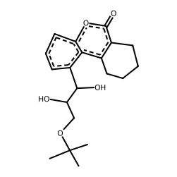 CC(C)(C)OCC(O)C(O)c1cccc2oc(=O)c3c(c12)CCCC3